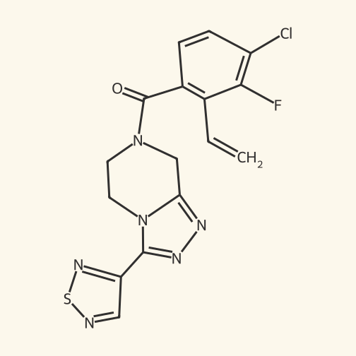 C=Cc1c(C(=O)N2CCn3c(nnc3-c3cnsn3)C2)ccc(Cl)c1F